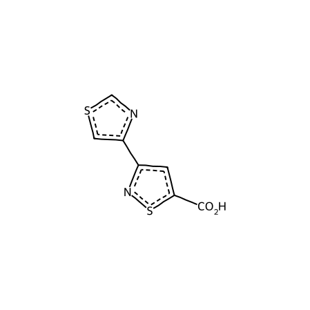 O=C(O)c1cc(-c2cscn2)ns1